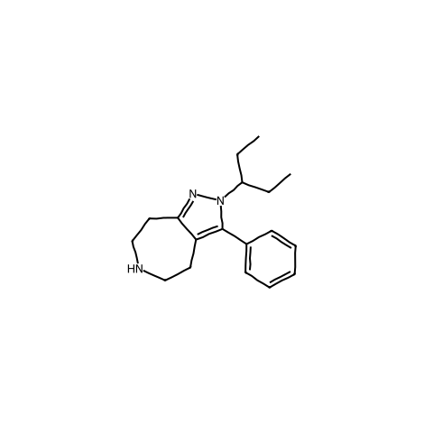 CCC(CC)n1nc2c(c1-c1ccccc1)CCNCC2